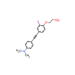 CN(C)c1ccc(C#Cc2ccc(OCCO)c(I)c2)cc1